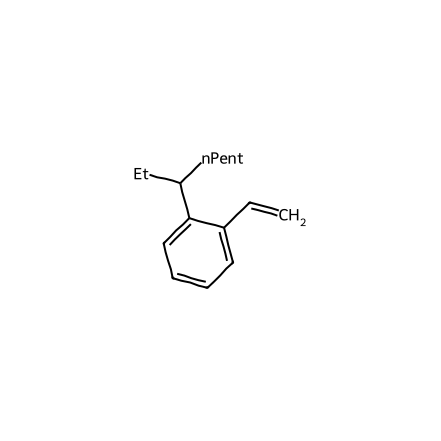 C=Cc1ccccc1C(CC)CCCCC